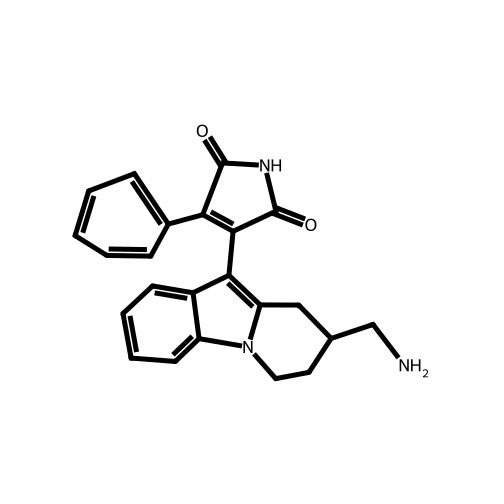 NCC1CCn2c(c(C3=C(c4ccccc4)C(=O)NC3=O)c3ccccc32)C1